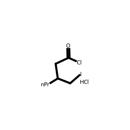 CCCC(CI)CC(=O)Cl.Cl